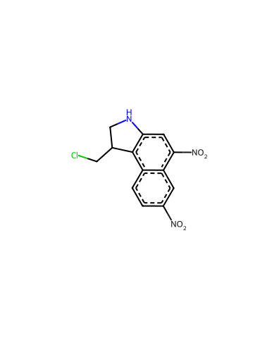 O=[N+]([O-])c1ccc2c3c(cc([N+](=O)[O-])c2c1)NCC3CCl